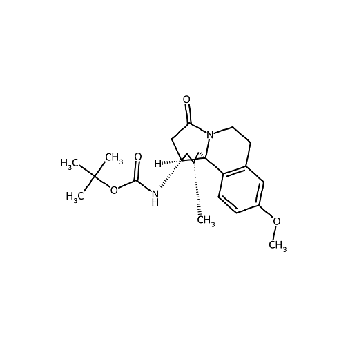 COc1ccc2c(c1)CCN1C(=O)C[C@H]3[C@H](NC(=O)OC(C)(C)C)[C@@H](C)C[C@]231